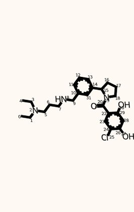 CCN(CC)CCCNCc1cccc(C2CCCN2C(=O)c2cc(Cl)c(O)cc2O)c1